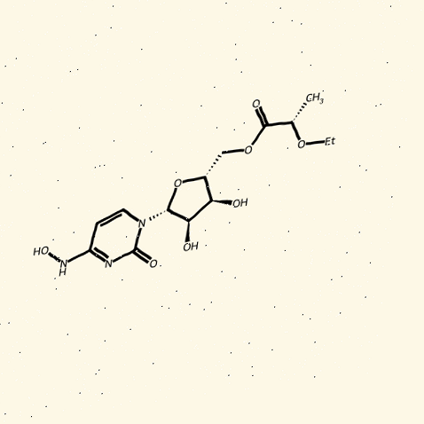 CCO[C@@H](C)C(=O)OC[C@H]1O[C@@H](n2ccc(NO)nc2=O)[C@H](O)[C@@H]1O